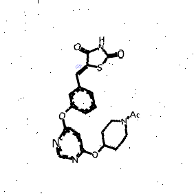 CC(=O)N1CCC(Oc2cc(Oc3cccc(/C=C4\SC(=O)NC4=O)c3)ncn2)CC1